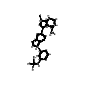 Cn1cc(-c2ccc3c(ccn3-c3[c]c(OC(F)(F)F)ccc3)c2)c2c(N)ncnc21